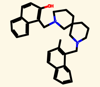 Cc1ccc2ccccc2c1CN1CCCC2(CCCN(Cc3c(O)ccc4ccccc34)C2)C1